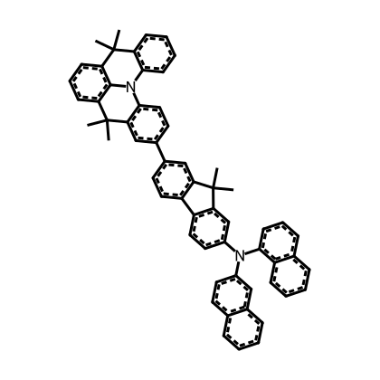 CC1(C)c2cc(-c3ccc4c(c3)C(C)(C)c3cccc5c3N4c3ccccc3C5(C)C)ccc2-c2ccc(N(c3ccc4ccccc4c3)c3cccc4ccccc34)cc21